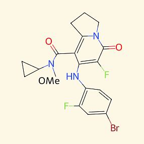 CON(C(=O)c1c(Nc2ccc(Br)cc2F)c(F)c(=O)n2c1CCC2)C1CC1